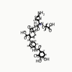 CC(C)(O/N=C(\C(=O)N[C@@H]1C(=O)N2C(C(=O)O)=C(C[N+]34CCC(NC(=O)c5ccc(O)c(O)c5Cl)(CC3)CC4)CS[C@H]12)c1csc(N)n1)C(=O)O